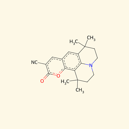 CC1(C)CCN2CCC(C)(C)c3c2c1cc1cc(C#N)c(=O)oc31